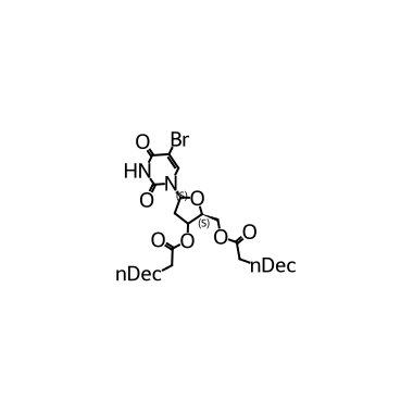 CCCCCCCCCCCC(=O)OC[C@@H]1O[C@H](n2cc(Br)c(=O)[nH]c2=O)CC1OC(=O)CCCCCCCCCCC